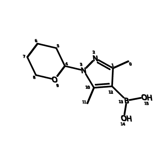 Cc1nn(C2CCCCO2)c(C)c1B(O)O